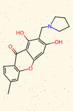 Cc1ccc2c(=O)c3c(O)c(CN4CCCC4)c(O)cc3oc2c1